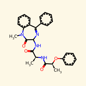 C[C@H](NC(=O)[C@H](C)Oc1ccccc1)C(=O)NC1N=C(c2ccccc2)c2ccccc2N(C)C1=O